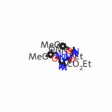 CCOC(=O)c1oc(-c2c(OCc3ccc(OC)cc3)c(C)nn2CC)nc1-c1nc(C(=O)NCc2ccc(OC)cc2OC)cc2c1cnn2C